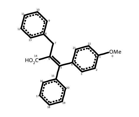 COc1ccc(C(=C(Cc2ccccc2)C(=O)O)c2ccccc2)cc1